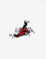 C#CCOCCOCCO[C@]1(C(=O)OC)C[C@H](OC(C)=O)[C@@H](NC(=O)COC(C)=O)[C@H]([C@H](OC(C)=O)[C@@H](CNC(=O)c2ccc(-c3ccc(OC(C)=O)cc3)cc2)OC(C)=O)O1